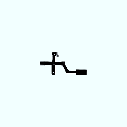 C#CCOP(=O)(O)C(F)(F)F